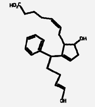 O=C(O)CCC/C=C\CC1C(C(CCC=CO)c2ccccc2)=CCC1O